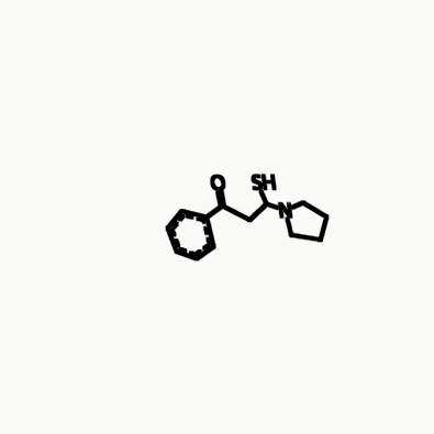 O=C(CC(S)N1CCCC1)c1ccccc1